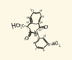 O=C(O)C1C(=O)N(c2cccc([N+](=O)[O-])c2)C(=O)c2ccccc21